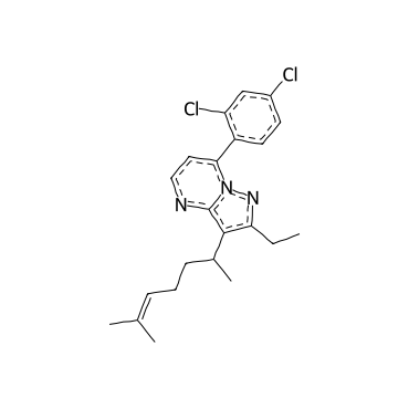 CCc1nn2c(-c3ccc(Cl)cc3Cl)ccnc2c1C(C)CCC=C(C)C